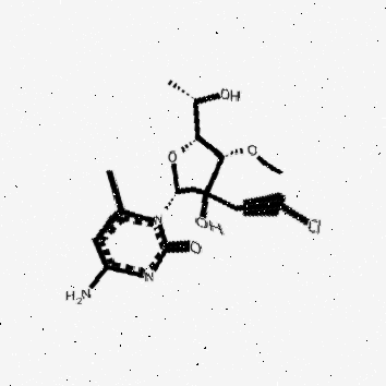 CO[C@H]1[C@@H]([C@H](C)O)O[C@@H](n2c(C)cc(N)nc2=O)C1(O)C#CCl